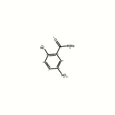 CNC(=O)c1cc([N+](=O)[O-])ccc1C#N